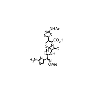 CON=C(C(=O)NC1C(=O)N2C(C(=O)O)=C(c3nnc(NC(C)=O)s3)CS[C@@H]12)c1csc(N)n1